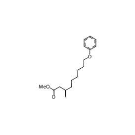 COC(=O)CC(C)CCCCCCOc1ccccc1